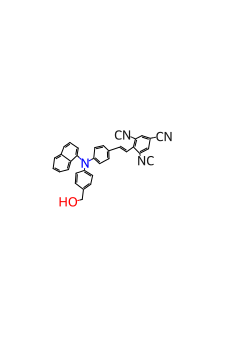 [C-]#[N+]c1cc(C#N)cc([N+]#[C-])c1C=Cc1ccc(N(c2ccc(CO)cc2)c2cccc3ccccc23)cc1